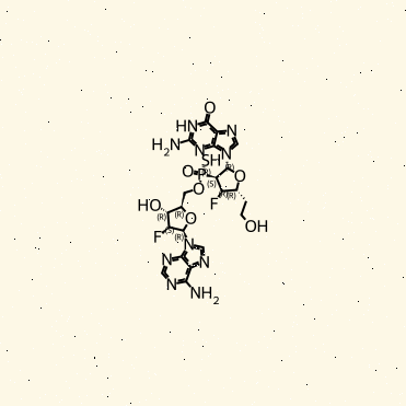 Nc1nc2c(ncn2[C@@H]2O[C@H](CCO)[C@@H](F)[C@H]2[P@](=O)(S)OC[C@H]2O[C@@H](n3cnc4c(N)ncnc43)[C@@H](F)[C@@H]2O)c(=O)[nH]1